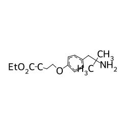 CCOC(=O)CCCOc1ccc(CC(C)(C)N)cc1